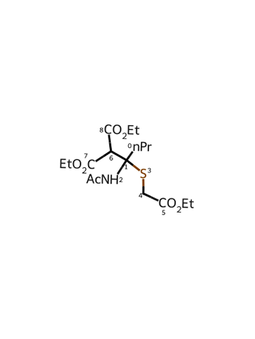 CCCC(NC(C)=O)(SCC(=O)OCC)C(C(=O)OCC)C(=O)OCC